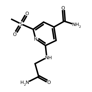 CS(=O)(=O)c1cc(C(N)=O)cc(NCC(N)=O)n1